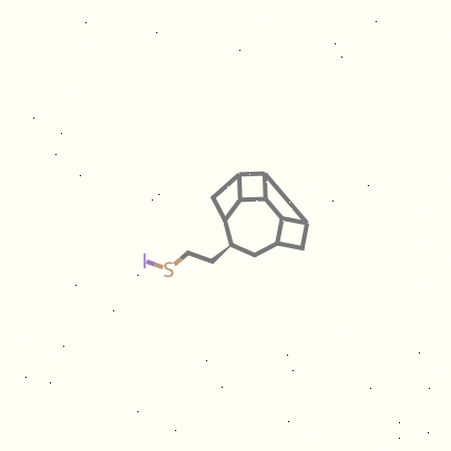 ISCC[C@@H]1CC2CC3C2C2C3C3CC1C32